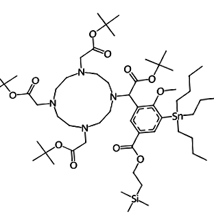 CCC[CH2][Sn]([CH2]CCC)([CH2]CCC)[c]1cc(C(=O)OCC[Si](C)(C)C)cc(C(C(=O)OC(C)(C)C)N2CCN(CC(=O)OC(C)(C)C)CCN(CC(=O)OC(C)(C)C)CCN(CC(=O)OC(C)(C)C)CC2)c1OC